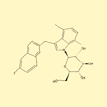 Cc1ccc(C)c2c1c(Cc1ccc3cc(F)ccc3c1)cn2[C@@H]1O[C@H](CO)[C@@H](O)[C@H](O)[C@H]1O